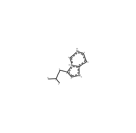 CC(C)Cc1cnc2ccncn12